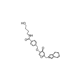 O=C(NCCCCO)c1ccc(COc2coc(Cn3cc4ccccc4c3)cc2=O)cc1